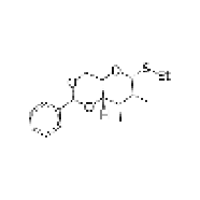 CCS[C@H]1OC2COC(c3ccccc3)O[C@H]2[C@H](C)C1C